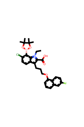 CCn1c(C(=O)O)c(CCCOc2cccc3cc(F)ccc23)c2ccc(Cl)c(B3OC(C)(C)C(C)(C)O3)c21